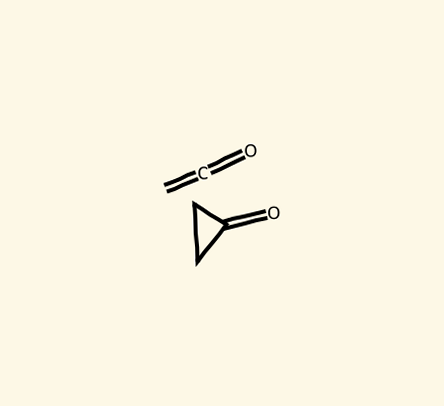 C=C=O.O=C1CC1